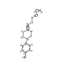 COCCC[SiH]1CCC(c2ccc(F)cc2)CC1